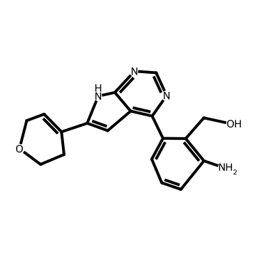 Nc1cccc(-c2ncnc3[nH]c(C4=CCOCC4)cc23)c1CO